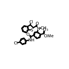 COC(=O)c1ccc(C(=O)Nc2ccc(Cl)cc2)cc1N(C)C(=O)C1Sc2ccccc2C1Cl